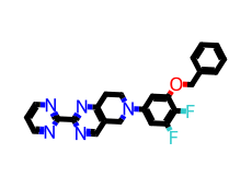 Fc1cc(N2CCc3nc(-c4ncccn4)ncc3C2)cc(OCc2ccccc2)c1F